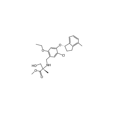 CCOc1cc(O[C@H]2CCc3c(C)cccc32)c(Cl)cc1CN[C@@](C)(CO)C(=O)OC